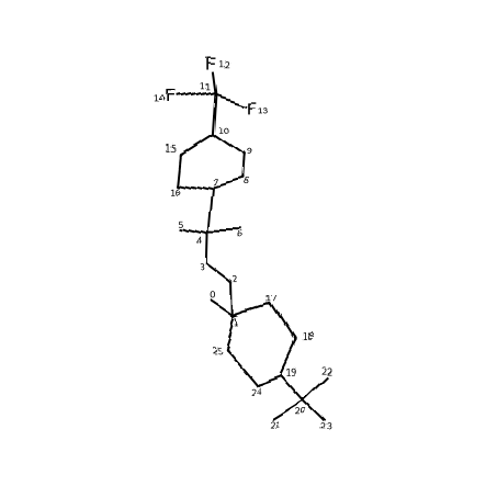 CC1(CCC(C)(C)C2CCC(C(F)(F)F)CC2)CCC(C(C)(C)C)CC1